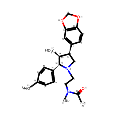 CCCCN(CCN1C[C@H](c2ccc3c(c2)OCO3)[C@H](C(=O)O)[C@H]1c1ccc(OC)cc1)C(=O)CCC